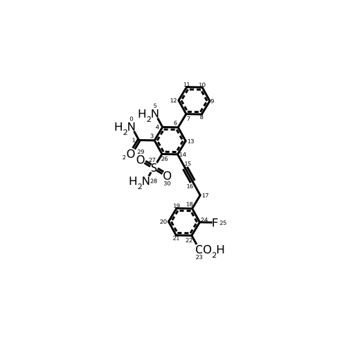 NC(=O)c1c(N)c(-c2ccccc2)cc(C#CCc2cccc(C(=O)O)c2F)c1S(N)(=O)=O